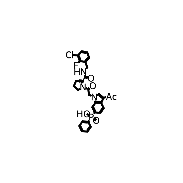 CC(=O)c1cn(CC(=O)N2CCC[C@H]2C(=O)NCc2cccc(Cl)c2F)c2cc(P(=O)(O)c3ccccc3)ccc12